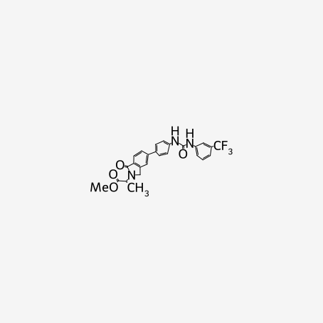 COC(=O)[C@H](C)N1Cc2cc(-c3ccc(NC(=O)Nc4cccc(C(F)(F)F)c4)cc3)ccc2C1=O